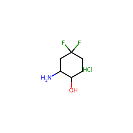 Cl.NC1CC(F)(F)CCC1O